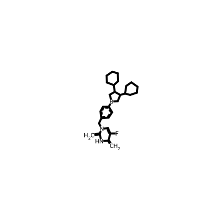 C=C1NC(=C)N(Cc2ccc(B3CC(C4CCCCC4)C(C4CCCCC4)C3)cc2)C=C1F